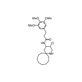 COc1cc(CCC(=O)NC2CC3(CCCCCCCC3)NCC2Cl)cc(OC)c1OC